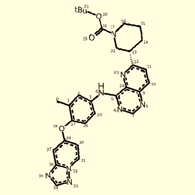 Cc1cc(Nc2ncnc3ccc([C@H]4CCCN(C(=O)OC(C)(C)C)C4)nc23)ccc1Oc1ccn2ncnc2c1